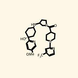 COc1ccc([C@]2(O)CC[C@H](NC3CCN(C(=O)C4CCN(c5cc(C(F)(F)F)ccn5)CC4)C3)CC2)nc1